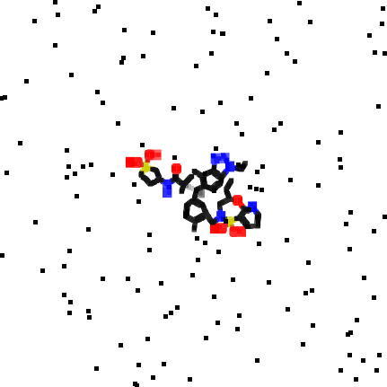 CCC1CN(Cc2cc([C@@H](c3ccc4c(nnn4CC)c3C)C(C)(C)C(=O)NC3CCS(O)(O)C3)ccc2C)S(O)(O)c2cccnc2O1